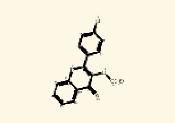 CCOC(=O)Oc1c(-c2ccc(Cl)cc2)oc2ccccc2c1=O